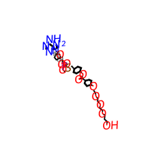 COP(=O)(OC[C@@H]1CC[C@H](n2cnc3c(N)ncnc32)O1)SCc1ccc(OC(=O)c2ccc(OCCOCCOCCOCCCO)cc2)cc1